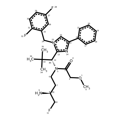 COCC(=O)N(CC[C@H](N)CF)[C@@H](c1nc(-c2ccccc2)cn1Cc1cc(F)ccc1F)C(C)(C)C